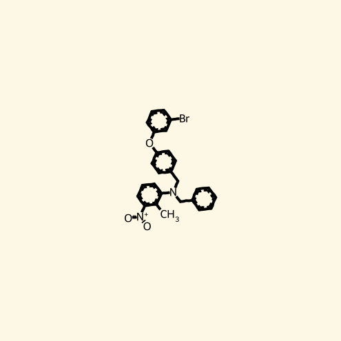 Cc1c(N(Cc2ccccc2)Cc2ccc(Oc3cccc(Br)c3)cc2)cccc1[N+](=O)[O-]